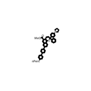 CCCCCc1ccc(-c2ccc(-c3ccc4c5c(c(C(=O)OC)cc4c3)C=CC(c3ccccc3)(c3ccc(N4CCCC4)cc3)O5)cc2)cc1